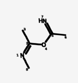 CN=C(C)OC(C)=N